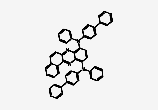 c1ccc(-c2ccc(N(c3ccccc3)c3ccc(N(c4ccccc4)c4ccc(-c5ccccc5)cc4)c4nc5c(ccc6ccccc65)nc34)cc2)cc1